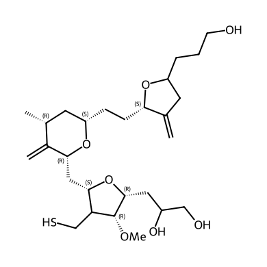 C=C1CC(CCCO)O[C@H]1CC[C@H]1C[C@@H](C)C(=C)[C@@H](C[C@@H]2O[C@H](CC(O)CO)[C@H](OC)C2CS)O1